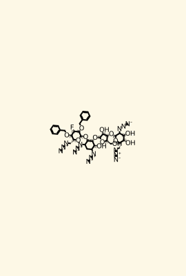 [N-]=[N+]=NC[C@@H]1O[C@H](O[C@H]2[C@@H](O)[C@H](O[C@H]3[C@H](O[C@H]4O[C@H](CN=[N+]=[N-])[C@@H](OCc5ccccc5)[C@H](F)[C@H]4OCc4ccccc4)C(N=[N+]=[N-])CC(N=[N+]=[N-])[C@@H]3O)O[C@@H]2CO)C(N=[N+]=[N-])[C@@H](O)[C@@H]1O